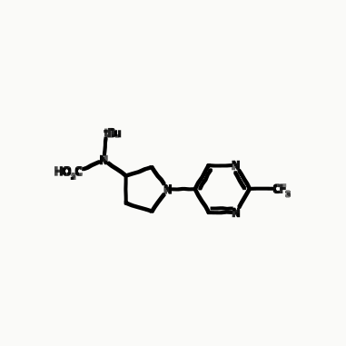 CC(C)(C)N(C(=O)O)C1CCN(c2cnc(C(F)(F)F)nc2)C1